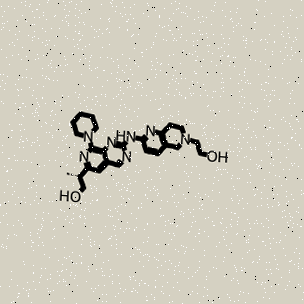 C[C@@H](CO)c1cc2cnc(Nc3ccc4c(n3)CCN(CCO)C4)nc2c(N2CCCCC2)n1